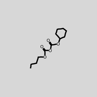 CCCCOC(=O)OC(=O)OC1CCCCC1